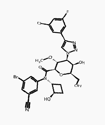 CO[C@@H]1[C@@H](n2cc(-c3cc(F)cc(Cl)c3)nn2)[C@@H](O)[C@@H](CO)O[C@H]1C(=O)N(c1cc(Br)cc(C#N)c1)[C@@H]1CC[C@H]1O